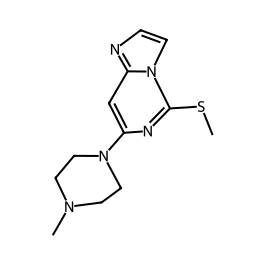 CSc1nc(N2CCN(C)CC2)cc2nccn12